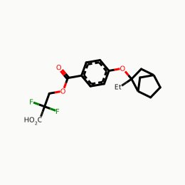 CCC1(Oc2ccc(C(=O)OCC(F)(F)C(=O)O)cc2)CC2CCC1C2